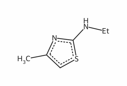 CCNc1nc(C)cs1